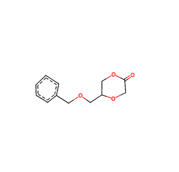 O=C1COC(COCc2ccccc2)CO1